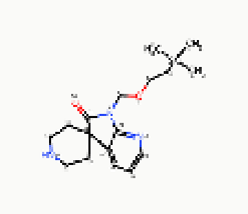 C[Si](C)(C)CCOCN1C(=O)C2(CCNCC2)c2cccnc21